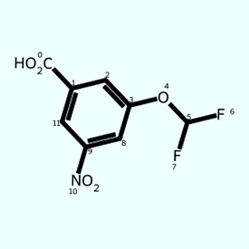 O=C(O)c1cc(OC(F)F)cc([N+](=O)[O-])c1